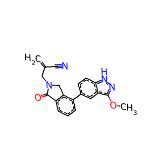 C=C(C#N)CN1Cc2c(cccc2-c2ccc3[nH]nc(OC)c3c2)C1=O